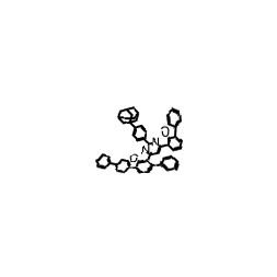 c1ccc(-c2ccc3c(c2)oc2c(-c4cc(-c5cccc6c5oc5ccccc56)nc(-c5ccc(C67CC8CC(CC(C8)C6)C7)cc5)n4)c(-c4ccccc4)ccc23)cc1